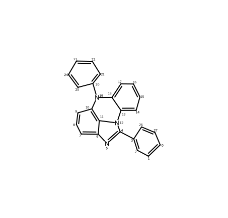 c1ccc(-c2nc3cccc4c3n2-c2ccccc2N4c2ccccc2)cc1